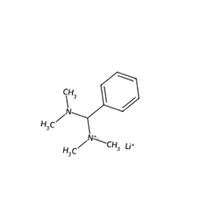 CN(C)C(c1ccccc1)[N+](C)C.[Li+]